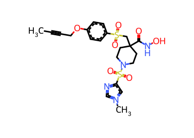 CC#CCOc1ccc(S(=O)(=O)CC2(C(=O)NO)CCN(S(=O)(=O)c3cn(C)cn3)CC2)cc1